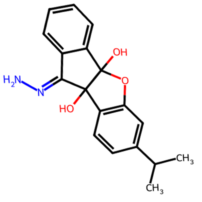 CC(C)c1ccc2c(c1)OC1(O)c3ccccc3/C(=N\N)C21O